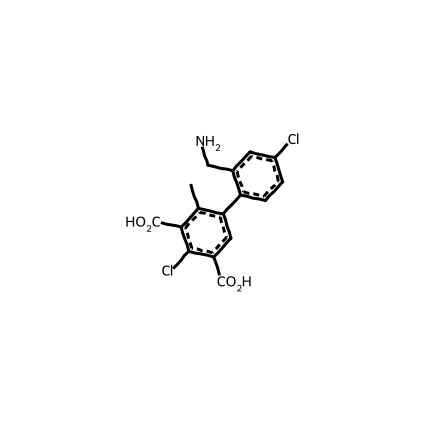 Cc1c(-c2ccc(Cl)cc2CN)cc(C(=O)O)c(Cl)c1C(=O)O